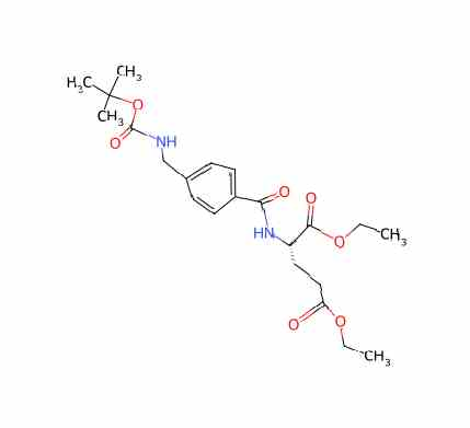 CCOC(=O)CC[C@H](NC(=O)c1ccc(CNC(=O)OC(C)(C)C)cc1)C(=O)OCC